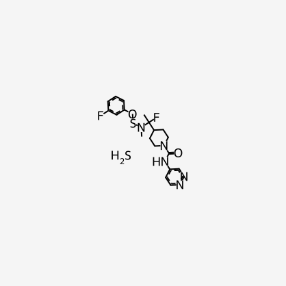 CN(SOc1cccc(F)c1)C(C)(F)C1CCN(C(=O)Nc2ccnnc2)CC1.S